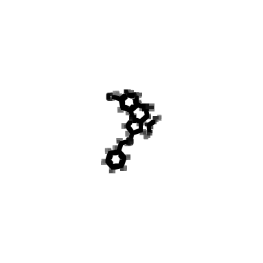 FC(F)[C@@]12CNc3nnc(Cl)cc3N1C[C@H](OCc1ccccc1)C2